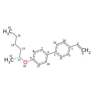 C=Cc1ccc(-c2ccc(O[C@H](C)CCCC)cc2)cc1